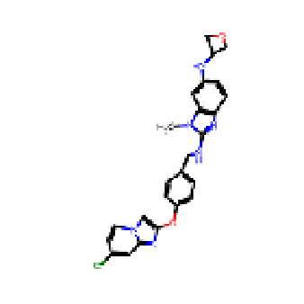 Cn1c(NCc2ccc(Oc3cn4ccc(Cl)cc4n3)cc2)nc2ccc(NC3COC3)cc21